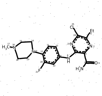 CCc1nc(C(N)=O)c(Nc2ccc(N3CCN(C)CC3)c(F)c2)nc1Cl